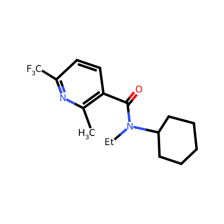 CCN(C(=O)c1ccc(C(F)(F)F)nc1C)C1CCCCC1